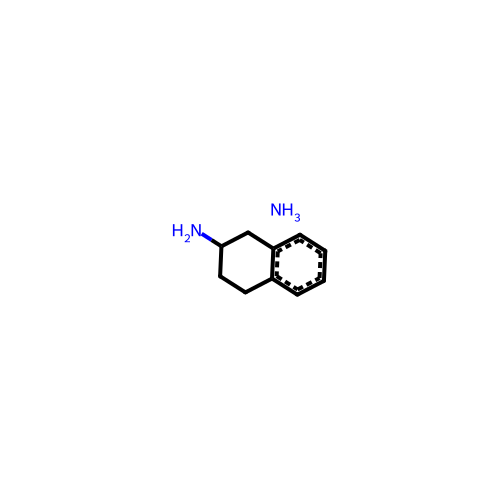 N.NC1CCc2ccccc2C1